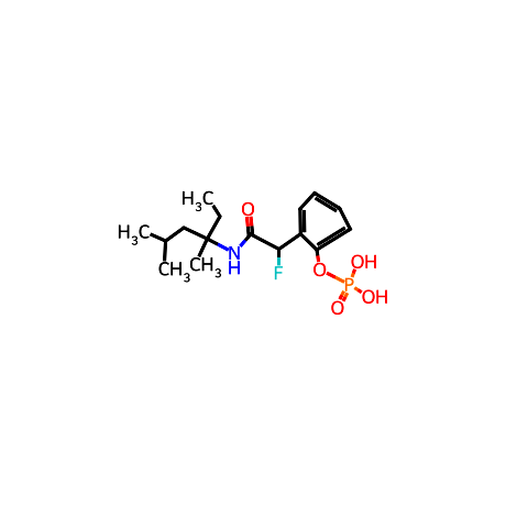 CCC(C)(CC(C)C)NC(=O)C(F)c1ccccc1OP(=O)(O)O